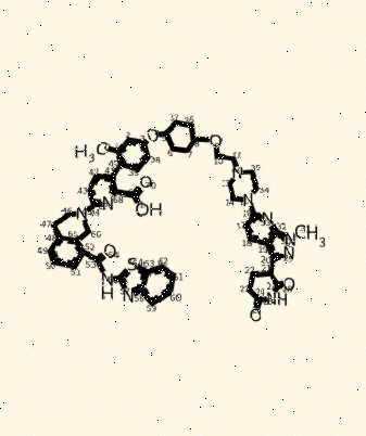 Cc1cc(OC2CCC(OCCN3CCN(c4ccc5c(C6CCC(=O)NC6=O)nn(C)c5n4)CC3)CC2)ccc1-c1ccc(N2CCc3cccc(C(=O)Nc4nc5ccccc5s4)c3C2)nc1C(=O)O